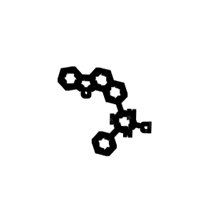 Clc1nc(-c2ccccc2)nc(-c2ccc3ccc4c5ccccc5oc4c3c2)n1